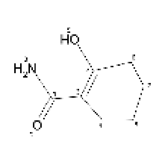 NC(=O)C1=C(O)CCCC1